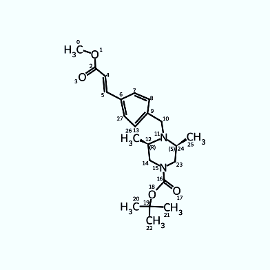 COC(=O)C=Cc1ccc(CN2[C@H](C)CN(C(=O)OC(C)(C)C)C[C@@H]2C)cc1